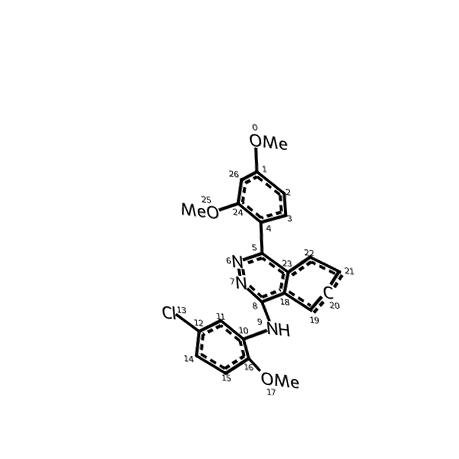 COc1ccc(-c2nnc(Nc3cc(Cl)ccc3OC)c3ccccc23)c(OC)c1